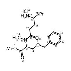 COC(=O)[C@H](COCc1ccccc1)N(C)C(=O)CCC(N)C(C)C.Cl